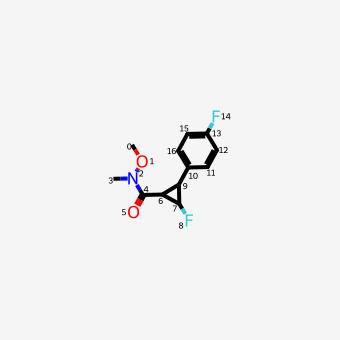 CON(C)C(=O)C1C(F)C1c1ccc(F)cc1